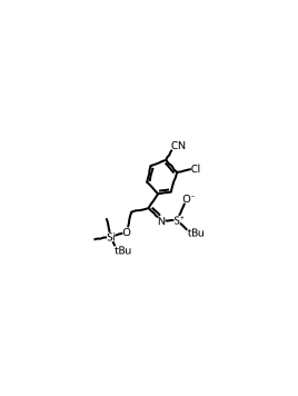 CC(C)(C)[S+]([O-])/N=C(/CO[Si](C)(C)C(C)(C)C)c1ccc(C#N)c(Cl)c1